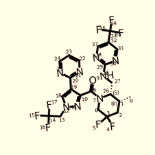 C[C@@H]1CC(F)(F)CN(C(=O)c2nn(CC(F)(F)F)cc2-c2ncccn2)[C@@H]1CNc1ncc(C(F)(F)F)cn1